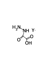 NNC(=O)C(=O)O.[Y]